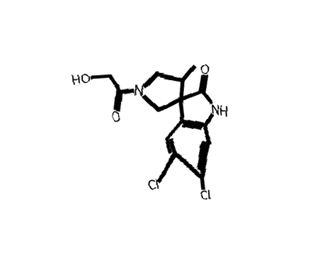 CC1CN(C(=O)CO)CC12C(=O)Nc1cc(Cl)c(Cl)cc12